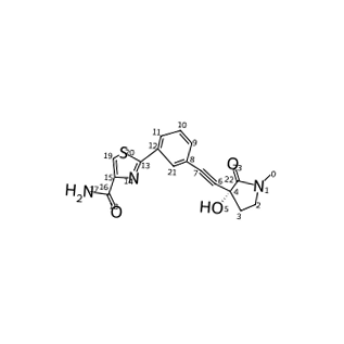 CN1CC[C@@](O)(C#Cc2cccc(-c3nc(C(N)=O)cs3)c2)C1=O